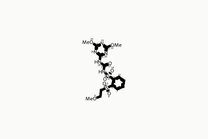 COCCS(=O)(=O)c1ccccc1S(=O)(=O)NC(=O)Nc1nc(OC)nc(OC)n1